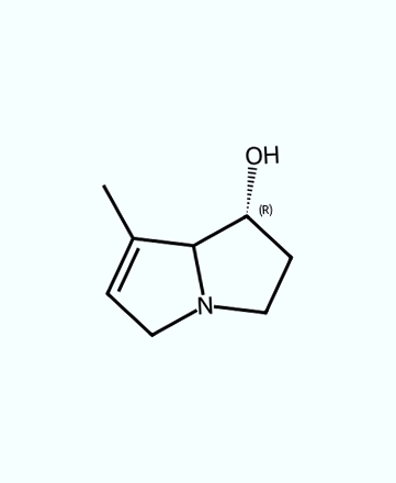 CC1=CCN2CC[C@@H](O)C12